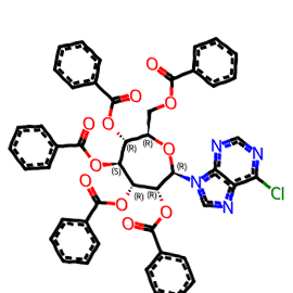 O=C(OC[C@H]1O[C@@H](n2cnc3c(Cl)ncnc32)[C@H](OC(=O)c2ccccc2)[C@H](OC(=O)c2ccccc2)[C@@H](OC(=O)c2ccccc2)[C@@H]1OC(=O)c1ccccc1)c1ccccc1